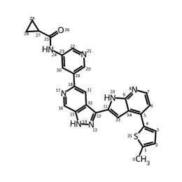 Cc1ccc(-c2ccnc3[nH]c(-c4n[nH]c5cnc(-c6cncc(NC(=O)C7CC7)c6)cc45)cc23)s1